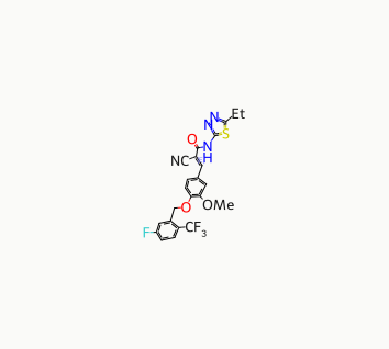 CCc1nnc(NC(=O)/C(C#N)=C/c2ccc(OCc3cc(F)ccc3C(F)(F)F)c(OC)c2)s1